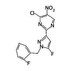 O=[N+]([O-])c1cnc(-c2cc(F)n(Cc3ccccc3F)n2)nc1Cl